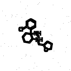 CN[C@]1(c2ccccc2Cl)CCCC[C@H]1NCC1CCCO1